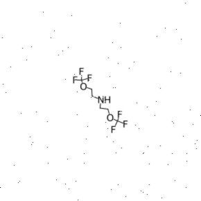 FC(F)(F)OCCNCCOC(F)(F)F